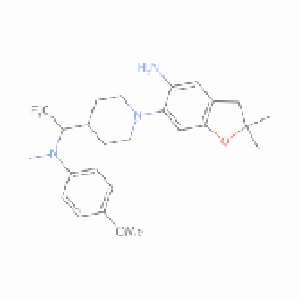 COc1ccc(N(C)C(C2CCN(c3cc4c(cc3N)CC(C)(C)O4)CC2)C(F)(F)F)cc1